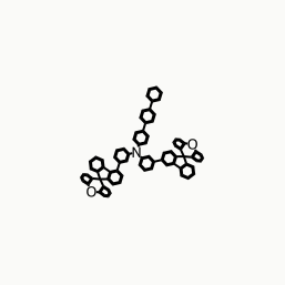 c1ccc(-c2ccc(-c3ccc(N(c4cccc(-c5ccc6c(c5)-c5ccccc5C65c6ccccc6Oc6ccccc65)c4)c4cccc(-c5cccc6c5-c5ccccc5C65c6ccccc6Oc6ccccc65)c4)cc3)cc2)cc1